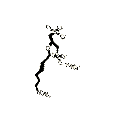 CCCCCCCCCCCCCCCCOC(CS(=O)(=O)[O-])CS(=O)(=O)[O-].[Na+].[Na+]